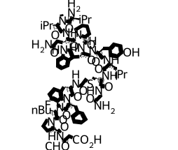 CCCC[C@@H](C(=O)N1CCC[C@@H]1C(=O)N[C@H](C=O)CC(=O)O)N(C)C(=O)[C@H](Cc1ccccc1)N(C)C(=O)[C@H](Cc1ccc(F)cc1)NC(=O)CSC[C@H](NC(=O)[C@H](CC(C)C)NC(=O)[C@H](Cc1ccc(O)cc1)NC(=O)[C@H](Cc1c[nH]c2ccccc12)NC(=O)[C@H]1CCCCN1C(=O)[C@H](CCC(N)=O)NC(=O)[C@H](C(C)C)N(C)C(=O)[C@@H](N)C(C)C)C(=O)NCC(N)=O